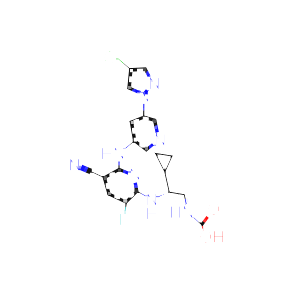 C[C@H](NC(=O)O)[C@@H](Nc1nc(Nc2cncc(-n3cc(Cl)cn3)c2)c(C#N)cc1F)C1CC1